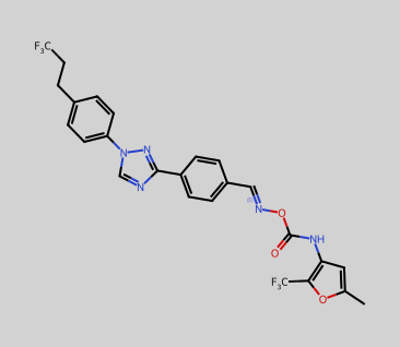 Cc1cc(NC(=O)O/N=C/c2ccc(-c3ncn(-c4ccc(CCC(F)(F)F)cc4)n3)cc2)c(C(F)(F)F)o1